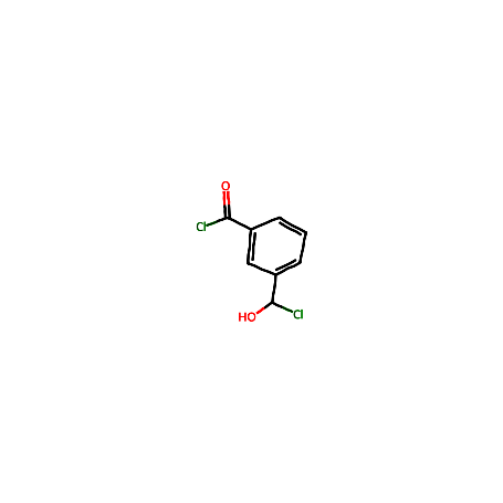 O=C(Cl)c1cccc(C(O)Cl)c1